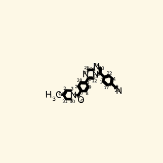 CC1=CCN(C(=O)c2ccc(-c3cn4c(-c5ccc(C#N)cc5)cnc4cn3)cc2)CC1